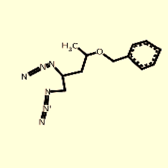 CC(CC(CN=[N+]=[N-])N=[N+]=[N-])OCc1ccccc1